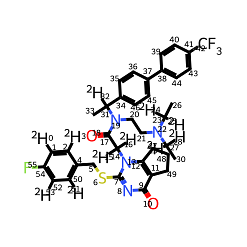 [2H]c1c([2H])c(CSc2nc(=O)c3c(n2C([2H])([2H])C(=O)N(CCN(C([2H])([2H])C)C([2H])([2H])C)C([2H])(C)c2ccc(-c4ccc(C(F)(F)F)cc4)cc2)CCC3)c([2H])c([2H])c1F